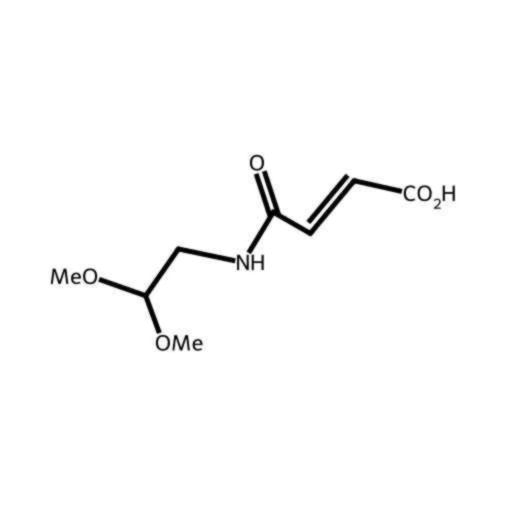 COC(CNC(=O)C=CC(=O)O)OC